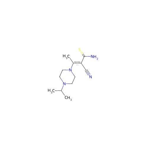 C/C(=C(/C#N)C(N)=S)N1CCN(C(C)C)CC1